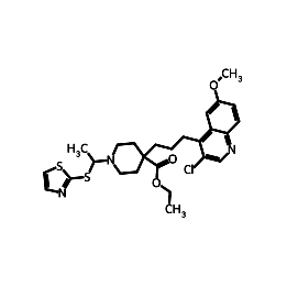 CCOC(=O)C1(CCCc2c(Cl)cnc3ccc(OC)cc23)CCN(C(C)Sc2nccs2)CC1